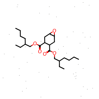 CCCCC(CC)COC(=O)C1CC2OC2CC1C(=O)OCC(CC)CCCC